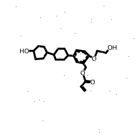 C=CC(=O)OCc1cc(C2CCC(C3CCC(O)CC3)CC2)ccc1OCCO